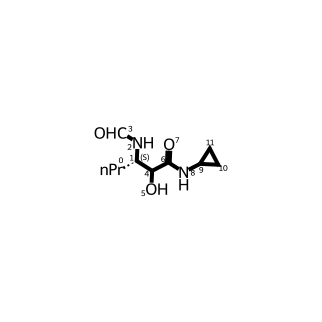 CCC[C@H](NC=O)C(O)C(=O)NC1CC1